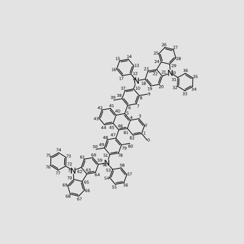 Cc1ccc2c(-c3cc(C)c(N(c4ccccc4)c4ccc5c(c4)c4ccccc4n5-c4ccccc4)cc3C)c3ccccc3c(-c3cc(C)c(N(c4ccccc4)c4ccc5c(c4)c4ccccc4n5-c4ccccc4)cc3C)c2c1